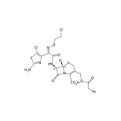 CC(=O)CC(=O)OCC1=C(C(=O)O)N2C(=O)[C@@H](NC(=O)/C(=N\OCCCl)c3nc(N)sc3Cl)[C@@H]2SC1